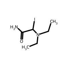 CCN(CC)C(I)C(N)=O